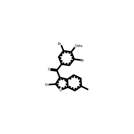 CCc1oc2cc(C)ccc2c1C(=O)c1cc(Br)c(OC)c(Br)c1